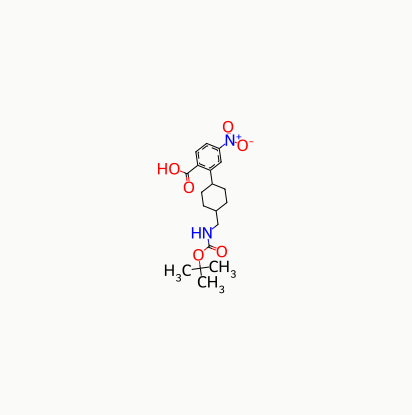 CC(C)(C)OC(=O)NCC1CCC(c2cc([N+](=O)[O-])ccc2C(=O)O)CC1